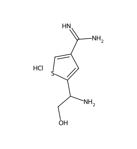 Cl.N=C(N)c1csc(C(N)CO)c1